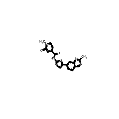 Cc1ncc2ccc(-c3cnc(NC(=O)c4ccn(C)c(=O)c4)s3)cc2n1